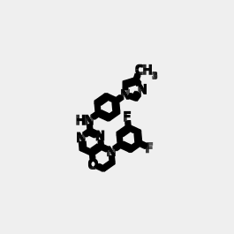 Cc1cn(-c2ccc(Nc3ncc4c(n3)N(c3cc(F)cc(F)c3)CCO4)cc2)cn1